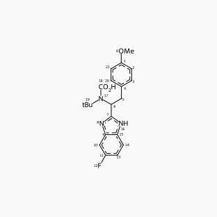 COc1ccc(CC(c2nc3cc(F)ccc3[nH]2)N(C(=O)O)C(C)(C)C)cc1